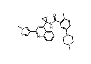 Cc1ccc(N2CCN(C)CC2)cc1C(=O)NC1(c2cc(-c3cnn(C)c3)nc3ccccc23)CC1